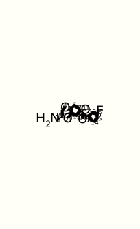 NC[C@H]1COc2ccc(S(=O)(=O)c3cccc(F)c3)cc2O1